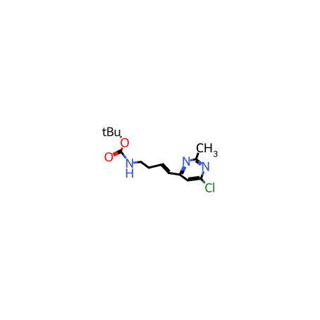 Cc1nc(Cl)cc(C=CCCNC(=O)OC(C)(C)C)n1